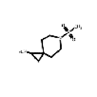 CS(=O)(=O)N1CCC2(CC1)CC2N